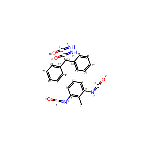 Cc1c(N=C=O)cccc1N=C=O.N=C=O.N=C=O.c1ccc(Cc2ccccc2)cc1